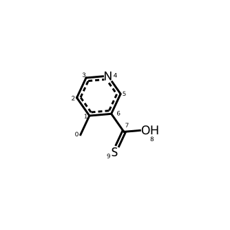 Cc1ccncc1C(O)=S